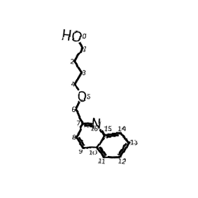 OCCCCOCc1ccc2ccccc2n1